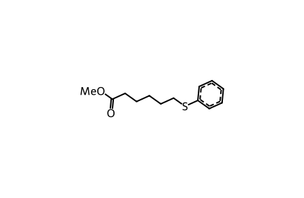 COC(=O)CCCCCSc1ccccc1